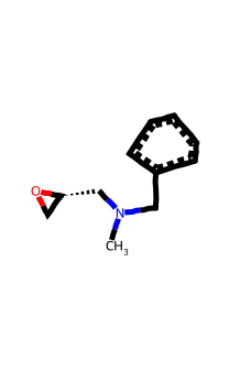 CN(Cc1ccccc1)C[C@@H]1CO1